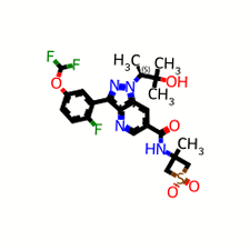 C[C@H](n1nc(-c2cc(OC(F)F)ccc2F)c2ncc(C(=O)NC3(C)CS(=O)(=O)C3)cc21)C(C)(C)O